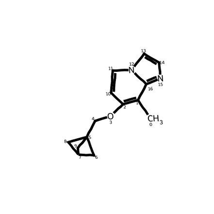 Cc1c(OCC23CC(C2)C3)ccn2ccnc12